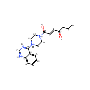 CCCC(=O)C=CC(=O)N1CCN(c2ncnc3ccccc23)CC1